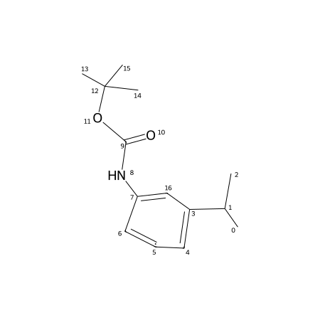 CC(C)c1c[c]cc(NC(=O)OC(C)(C)C)c1